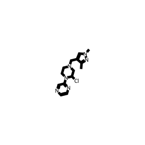 Cc1nn(C)cc1CN1CCN(c2cnccn2)C(Cl)C1